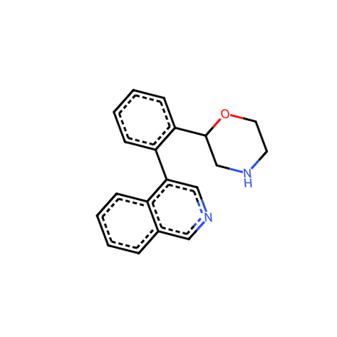 c1ccc(C2CNCCO2)c(-c2cncc3ccccc23)c1